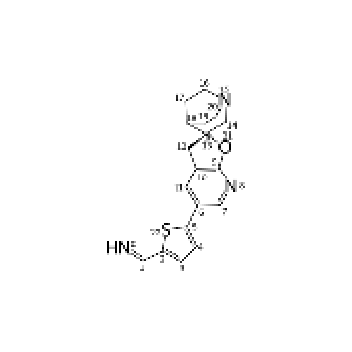 N=Cc1ccc(-c2cnc3c(c2)C[C@@]2(CN4CCC2CC4)O3)s1